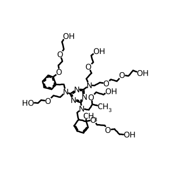 CC(CN(CC1C=CC=CC1(C)OCCOCCO)c1nc(N(CCOCCO)CCOCCOCCO)nc(N(CCOCCO)Cc2ccccc2OCCOCCO)n1)OCCO